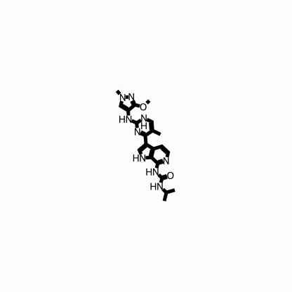 COc1nn(C)cc1NC1N=C(c2c[nH]c3c(NC(=O)NC(C)C)nccc23)C(C)=CN1